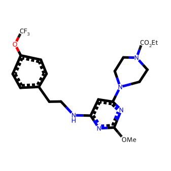 CCOC(=O)N1CCN(c2cc(NCCc3ccc(OC(F)(F)F)cc3)nc(OC)n2)CC1